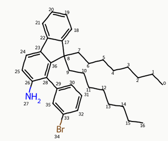 CCCCCCCCC1(CCCCCCCC)c2ccccc2-c2ccc(N)c(-c3cccc(Br)c3)c21